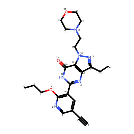 C#Cc1cnc(OCCC)c(-c2nc3c(CC)nn(CCN4CCOCC4)c3c(=O)[nH]2)c1